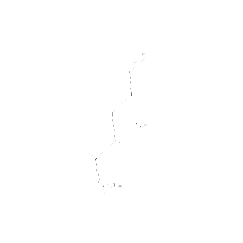 C=CCCCCNC.[Ne]